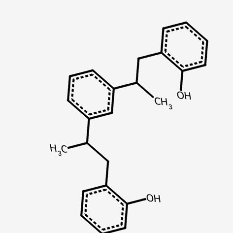 CC(Cc1ccccc1O)c1cccc(C(C)Cc2ccccc2O)c1